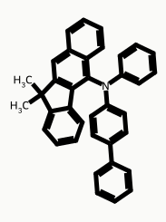 CC1(C)c2ccccc2-c2c1cc1ccccc1c2N(c1ccccc1)c1ccc(-c2ccccc2)cc1